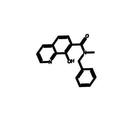 CN(Cc1ccccc1)C(=O)c1ccc2cccnc2c1O